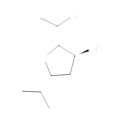 CC(S)[C@H]1O[C@@H](C(C)C)[C@@H](F)[C@@H]1O